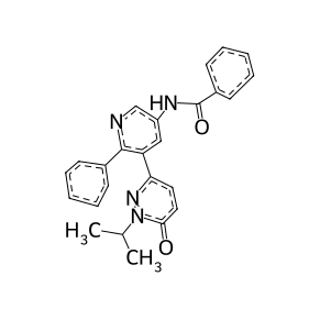 CC(C)n1nc(-c2cc(NC(=O)c3ccccc3)cnc2-c2ccccc2)ccc1=O